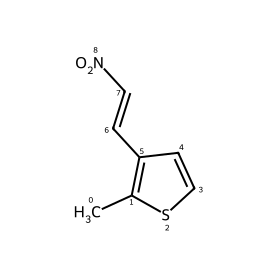 Cc1sccc1C=C[N+](=O)[O-]